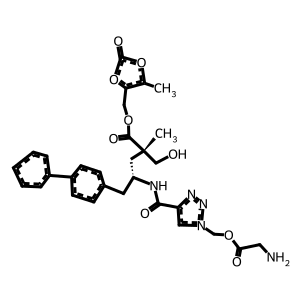 Cc1oc(=O)oc1COC(=O)[C@](C)(CO)C[C@@H](Cc1ccc(-c2ccccc2)cc1)NC(=O)c1cn(COC(=O)CN)nn1